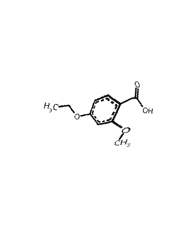 CCOc1ccc(C(=O)O)c(OC)c1